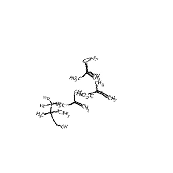 C=C(C)C(=O)O.C=C(C)C(=O)O.C=C(C)C(=O)O.CC(C)(CO)C(O)(O)O